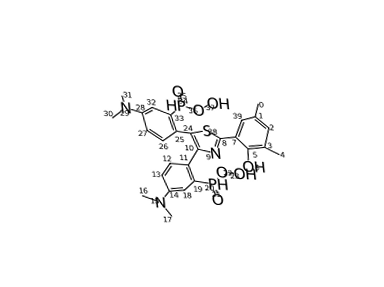 Cc1cc(C)c(O)c(-c2nc(-c3ccc(N(C)C)cc3[PH](=O)OO)c(-c3ccc(N(C)C)cc3[PH](=O)OO)s2)c1